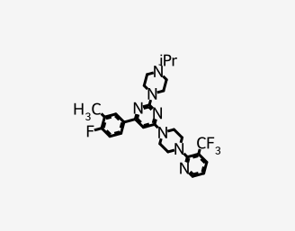 Cc1cc(-c2cc(N3CCN(c4ncccc4C(F)(F)F)CC3)nc(N3CCN(C(C)C)CC3)n2)ccc1F